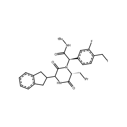 CC(C)C[C@@H]1C(=O)NC(C2Cc3ccccc3C2)C(=O)N1[C@@H](C(=O)NC(C)(C)C)c1ccc(CI)c(F)c1